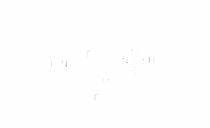 CS(=O)(=O)N1CC(Oc2cc(CN)ccc2F)CC(c2ccccc2F)C1